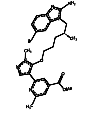 COC(=O)c1cc(C)nc(-c2cnn(C)c2OCCC[C@@H](C)Cn2c(N)nc3ccc(Br)cc32)c1